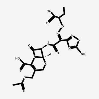 CCC(ON=C(C(=O)N[C@@H]1C(=O)N2C(C(=O)O)=C(COC(C)=O)CS[C@H]12)c1nsc(N)n1)C(=O)O